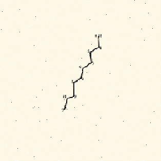 [CH]CCCCCCCC[CH2]